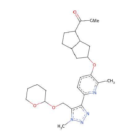 COC(=O)C1CCC2CC(Oc3ccc(-c4nnn(C)c4COC4CCCCO4)nc3C)CC21